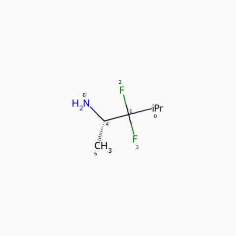 CC(C)C(F)(F)[C@H](C)N